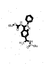 CC(N[S@@+]([O-])C(C)(C)C)c1ccc2c(NC(=O)OC(C)(C)C)n(-c3ccccc3)nc2c1